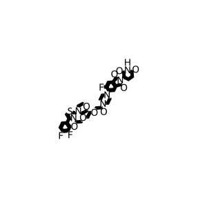 O=C1CCC(N2C(=O)c3cc(F)c(N4CCN(C(=O)COCCOCCOc5c(-c6csc(N7CCOCC7)n6)ccc(F)c5F)CC4)cc3C2=O)C(=O)N1